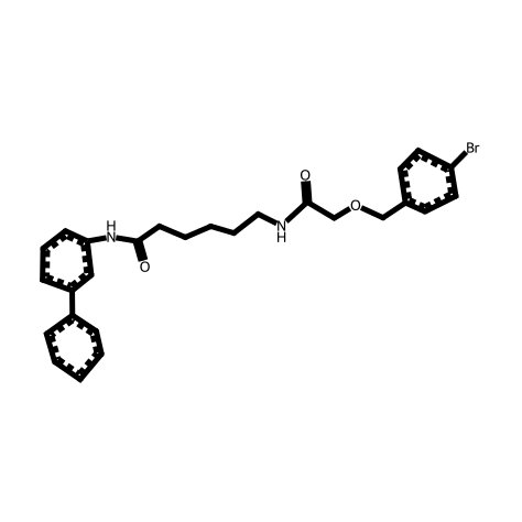 O=C(COCc1ccc(Br)cc1)NCCCCCC(=O)Nc1cccc(-c2ccccc2)c1